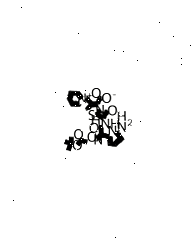 CC(C)(C)OC(=O)CO/N=C(\C(=O)NC1C(=O)N2C(C(=O)[O-])=C(C[n+]3ccccc3)CS[C@H]12)c1cccc(N)n1